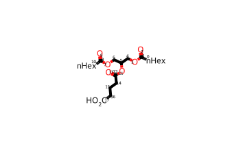 CCCCCCC(=O)OCC(COC(=O)CCCCCC)OC(=O)CCCC(=O)O